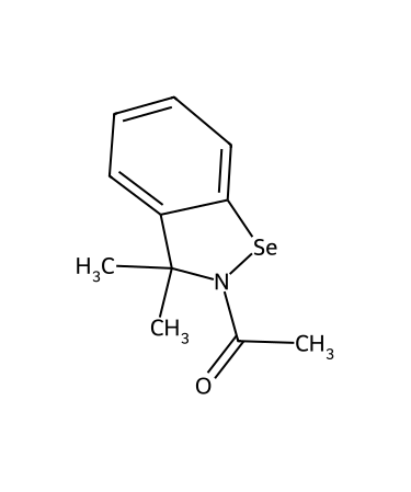 CC(=O)N1[Se]c2ccccc2C1(C)C